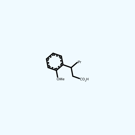 COc1ccccc1C(CC(=O)O)C(C)C